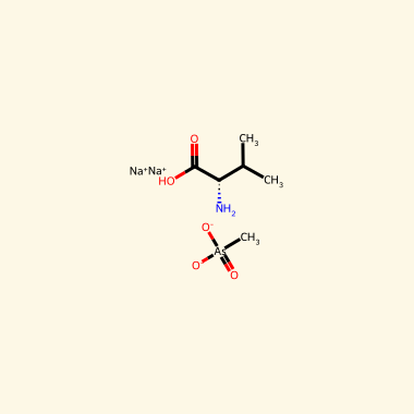 CC(C)[C@H](N)C(=O)O.C[As](=O)([O-])[O-].[Na+].[Na+]